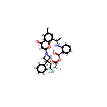 Cc1cc(C(C)Nc2ccccc2C(=O)OC(=O)C(F)(F)F)c2oc(N3CC(CC(F)F)(c4ccccc4)C3)cc(=O)c2c1